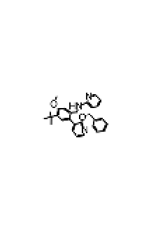 COc1cc(CNc2ccccn2)c(-c2cccnc2OCc2ccccc2)cc1C(C)(C)C